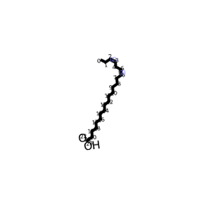 CC/C=C\C/C=C\CCCCCCCCCCCCCCC(=O)O